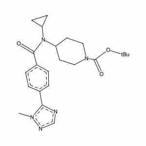 Cn1ncnc1-c1ccc(C(=O)N(C2CC2)C2CCN(C(=O)OC(C)(C)C)CC2)cc1